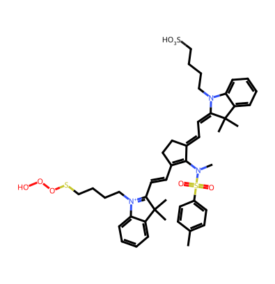 Cc1ccc(S(=O)(=O)N(C)C2=C(/C=C/C3=[N+](CCCCSOOO)c4ccccc4C3(C)C)CC/C2=C\C=C2\N(CCCCS(=O)(=O)O)c3ccccc3C2(C)C)cc1